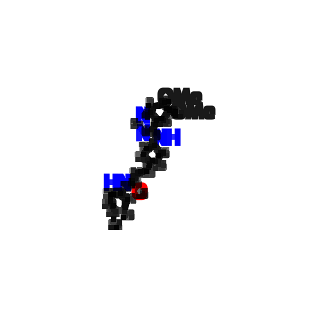 COc1cc2ncnc(Nc3ccc(C=CC(=O)Nc4ccc(C)cc4)cc3)c2cc1OC